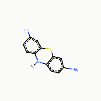 CC(=O)N1c2ccc(N)cc2Sc2cc(N)ccc21